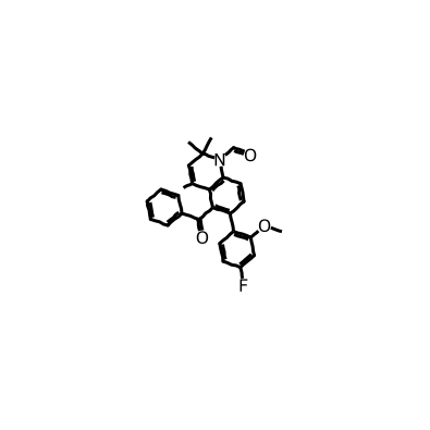 COc1cc(F)ccc1-c1ccc2c(c1C(=O)c1ccccc1)C(C)=CC(C)(C)N2C=O